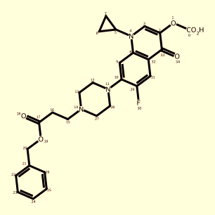 O=C(O)Oc1cn(C2CC2)c2cc(N3CCN(CCC(=O)OCc4ccccc4)CC3)c(F)cc2c1=O